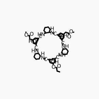 CCC(=O)Oc1cc2c(O)c(c1)CNC1CCCCC1NCc1cc(CC(=O)OC)cc(c1O)CNC1CCCCC1NCc1cc(CC(=O)OC)cc(c1O)CNC1CCCCC1NC2